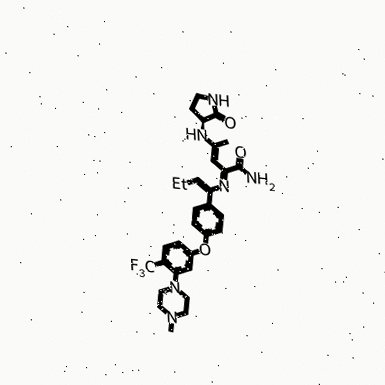 CC/C=C(/N=C(\C=C(/C)N[C@H]1CCNC1=O)C(N)=O)c1ccc(Oc2ccc(C(F)(F)F)c(N3CCN(C)CC3)c2)cc1